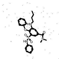 CCCCNc1cc(C(=O)N(C)C)cc(S(=O)(=O)Nc2ccccc2)c1Oc1ccccc1